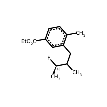 CCOC(=O)c1ccc(C)c(CC(C)[C@@H](C)F)c1